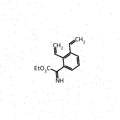 C=Cc1cccc(C(=N)C(=O)OCC)c1C=C